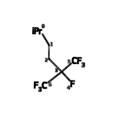 CC(C)CCC(F)(C(F)(F)F)C(F)(F)F